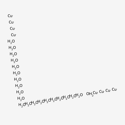 O.O.O.O.O.O.O.O.O.O.O.O.O.O.O.O.O.O.O.O.O.[Cu].[Cu].[Cu].[Cu].[Cu].[Cu].[Cu].[Cu]